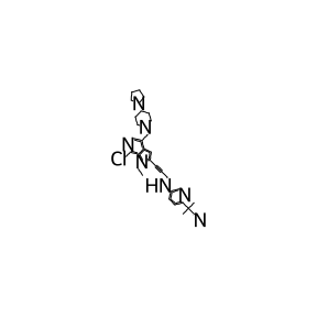 CCn1c(C#CCNc2ccc(C(C)(C)C#N)nc2)cc2c(CN3CCC(N4CCCC4)CC3)cnc(Cl)c21